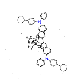 C[Si](C)(C)C1([Si](C)(C)C)c2cc3cc(N(c4ccccc4)c4ccc(C5CCCCC5)cc4)ccc3cc2-c2cc3ccc(N(c4ccccc4)c4ccc(C5CCCCC5)cc4)cc3cc21